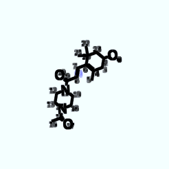 COC1CC(C)=C(/C=C/C(=O)N2CCN(C(C)=O)CC2)C(C)(C)C1